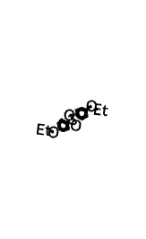 CCOc1ccc(S(=O)(=O)c2ccc(OCC)cc2)cc1